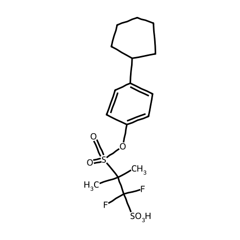 CC(C)(C(F)(F)S(=O)(=O)O)S(=O)(=O)Oc1ccc(C2CCCCC2)cc1